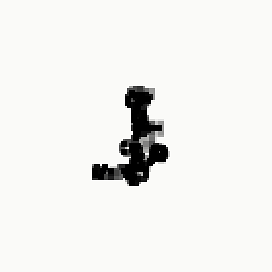 CNC(=O)c1cc(C(=O)NCCCC2(O)CCN(C(=O)OC(C)(C)C)CC2)cn(Cc2ccccc2)c1=O